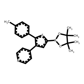 Cc1ccc(-c2sc(B3OC(C)(C)C(C)(C)O3)cc2-c2ccncc2)cc1